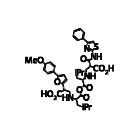 COc1ccc(-c2ccc(C(CNC(CC(C)C)C(=O)OC(=O)C(CC(C)C)NCC(C(=O)O)C(=O)Nc3nc(-c4ccccc4)cs3)C(=O)O)o2)cc1